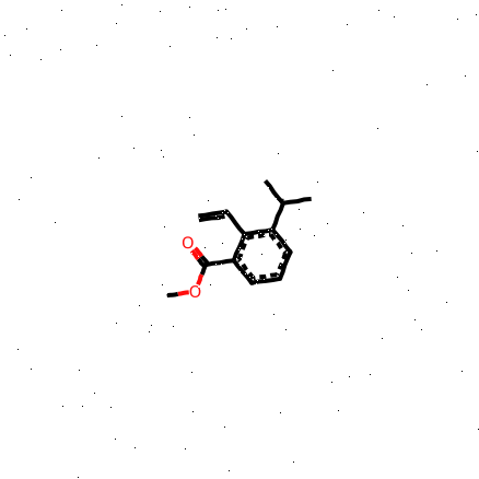 C=Cc1c([C](C)C)cccc1C(=O)OC